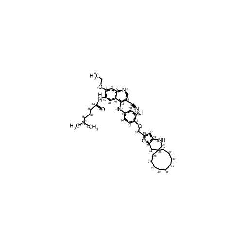 CCOc1cc2ncc(C#N)c(Nc3ccc(OCc4cc5c(o4)CC4(CCCCCCCCC4)CN5)c(Cl)c3)c2cc1NC(=O)CCCN(C)C